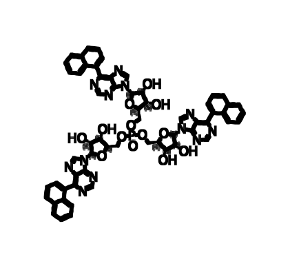 O=P(OC[C@H]1O[C@@H](n2cnc3c(-c4cccc5ccccc45)ncnc32)[C@H](O)[C@@H]1O)(OC[C@H]1O[C@@H](n2cnc3c(-c4cccc5ccccc45)ncnc32)[C@H](O)[C@@H]1O)OC[C@H]1O[C@@H](n2cnc3c(-c4cccc5ccccc45)ncnc32)[C@H](O)[C@@H]1O